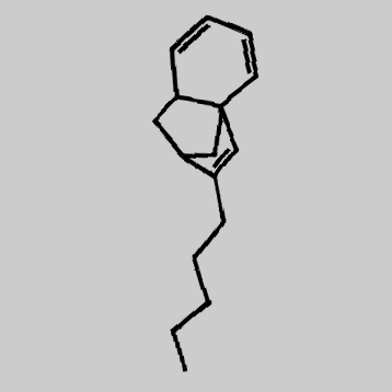 CCCCCC1=CC23C=CC=CC2CC1C3